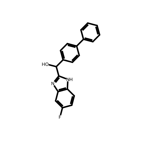 OC(c1ccc(-c2ccccc2)cc1)c1nc2cc(F)ccc2[nH]1